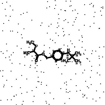 CSC(C)C(=O)OCc1ccc(NC(C)(C)C)cc1